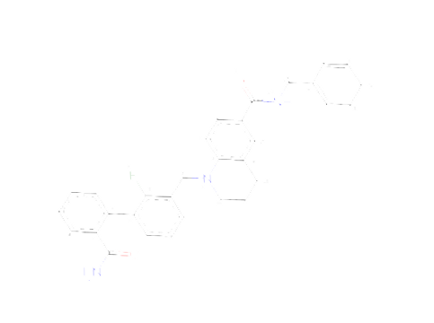 NC(=O)c1ccccc1-c1cccc(CN2CCCc3cc(C(=O)NCC4=CCCC=C4)ccc32)c1F